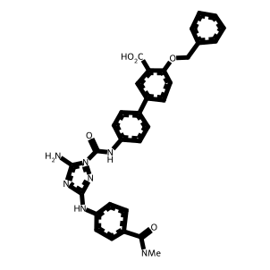 CNC(=O)c1ccc(Nc2nc(N)n(C(=O)Nc3ccc(-c4ccc(OCc5ccccc5)c(C(=O)O)c4)cc3)n2)cc1